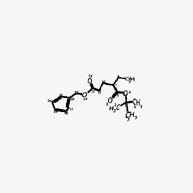 CC(C)(C)OC(=O)C(CO)CCC(=O)OCc1ccccc1